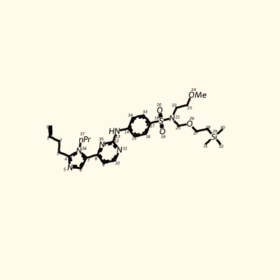 C=CCCc1ncc(-c2ccnc(Nc3ccc(S(=O)(=O)N(CCOC)COCC[Si](C)(C)C)cc3)n2)n1CCC